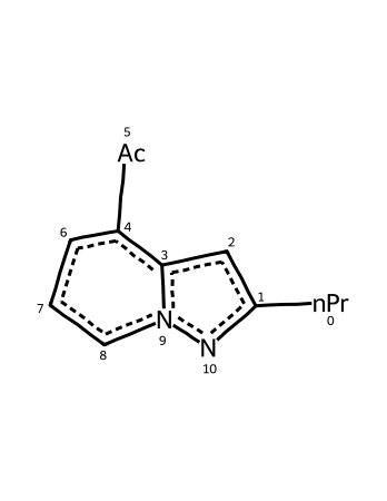 CCCc1cc2c(C(C)=O)cccn2n1